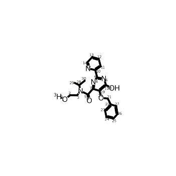 [3H]OCCN(C(=O)c1nc(-c2ccccn2)nc(O)c1OCc1ccccc1)C(C)C